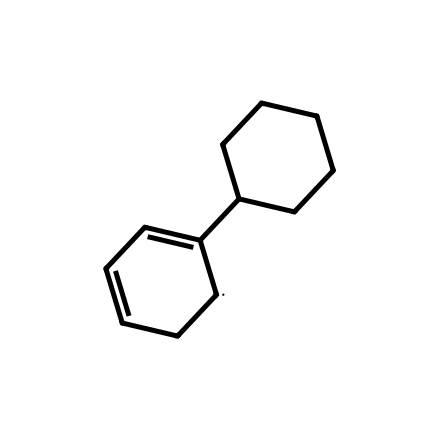 [CH]1CC=CC=C1C1CCCCC1